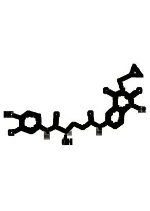 CCn1c(=O)n(CC2CC2)c(=O)c2cc(NC(=O)CC[C@H](O)C(=O)Nc3ccc(C#N)c(Cl)c3)ccc21